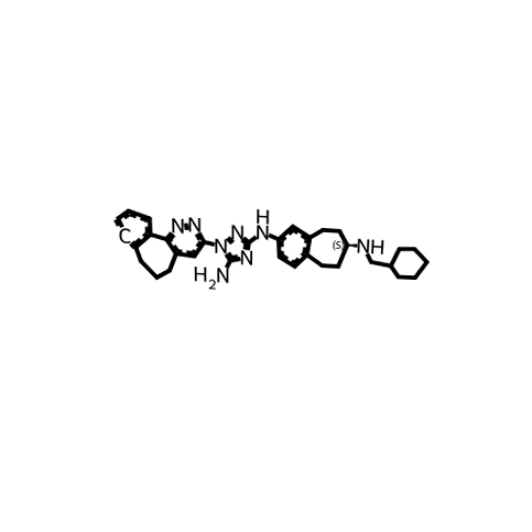 Nc1nc(Nc2ccc3c(c2)CC[C@@H](NCC2CCCCC2)CC3)nn1-c1cc2c(nn1)-c1ccccc1CCC2